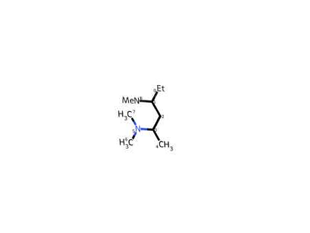 CCC(CC(C)N(C)C)NC